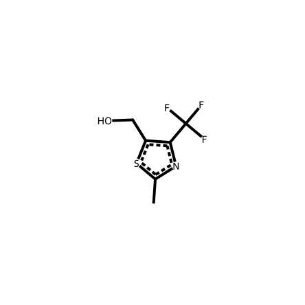 Cc1nc(C(F)(F)F)c(CO)s1